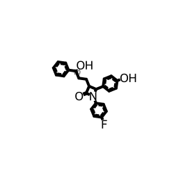 O=C1C(CC[C@@H](O)c2ccccc2)C(c2ccc(O)cc2)N1c1ccc(F)cc1